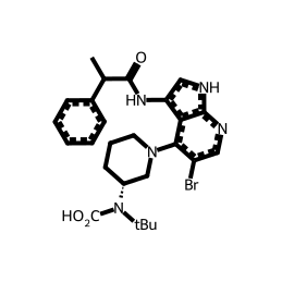 CC(C(=O)Nc1c[nH]c2ncc(Br)c(N3CCC[C@@H](N(C(=O)O)C(C)(C)C)C3)c12)c1ccccc1